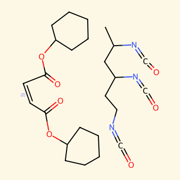 CC(CC(CCN=C=O)N=C=O)N=C=O.O=C(/C=C\C(=O)OC1CCCCC1)OC1CCCCC1